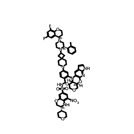 Cc1ccccc1[C@@H]1CN([C@@H]2CCOc3c(F)cc(F)cc32)CCN1C1CC2(CCN(c3ccc(C(=O)NS(=O)(=O)c4cc5c(c([N+](=O)[O-])c4)N[C@H](C4CCOCC4)CO5)c(N4c5cc6cc[nH]c6nc5O[C@H]5COCC[C@@H]54)c3)CC2)C1